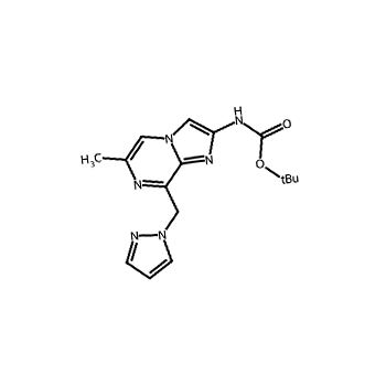 Cc1cn2cc(NC(=O)OC(C)(C)C)nc2c(Cn2cccn2)n1